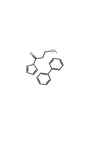 CCCC(=O)n1cccc1.c1ccc(-c2ccccc2)cc1